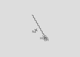 CCCCCCCCCCCCCCCCOOP(=O)(O)O.C[C](C)(C)[Na]